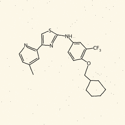 Cc1ccnc(-c2csc(Nc3ccc(OCC4CCCCC4)c(C(F)(F)F)c3)n2)c1